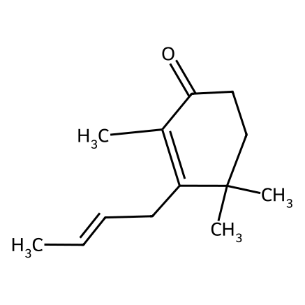 CC=CCC1=C(C)C(=O)CCC1(C)C